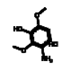 COc1ccc(N)c(OC)c1O.Cl